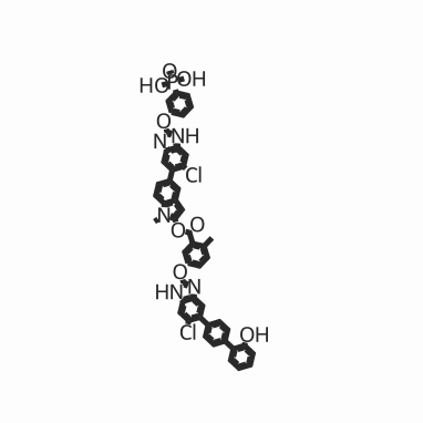 Cc1ccc(Oc2nc3cc(-c4ccc(-c5ccccc5O)cc4)c(Cl)cc3[nH]2)cc1C(=O)Oc1cc2cc(-c3cc4nc(Oc5cccc(P(=O)(O)O)c5)[nH]c4cc3Cl)ccc2n1C